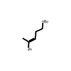 CCCCCCC=C(C)C(C)C